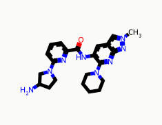 Cn1cc2cc(NC(=O)c3cccc(N4CCC(N)C4)n3)c(N3CCCCC3)nc2n1